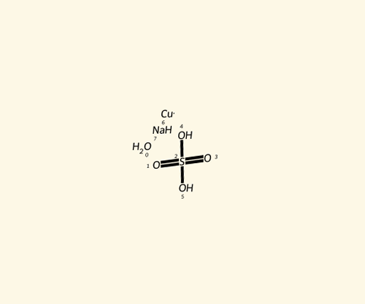 O.O=S(=O)(O)O.[Cu].[NaH]